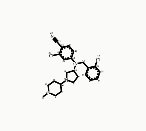 CN1CCC(N2CC[C@H](N(Cc3ccccc3Cl)c3ccc(C#N)c(Cl)c3)C2)CC1